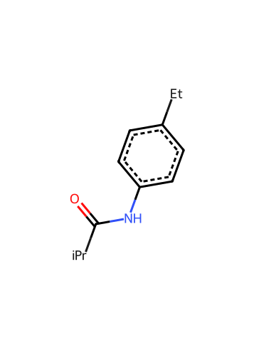 CCc1ccc(NC(=O)C(C)C)cc1